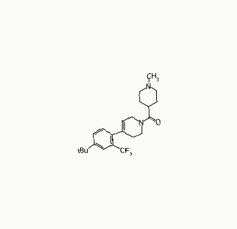 CN1CCC(C(=O)N2CC=C(c3ccc(C(C)(C)C)cc3C(F)(F)F)CC2)CC1